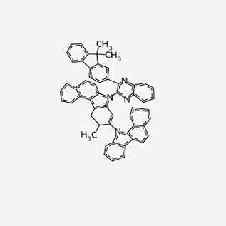 CC1Cc2c(n(-c3nc4ccccc4nc3-c3ccc4c(c3)C(C)(C)c3ccccc3-4)c3ccc4ccccc4c23)C=C1n1c2ccccc2c2ccc3ccccc3c21